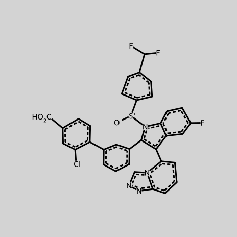 O=C(O)c1ccc(-c2cccc(-c3c(-c4cccc5nncn45)c4cc(F)ccc4n3[S+]([O-])c3ccc(C(F)F)cc3)c2)c(Cl)c1